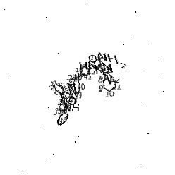 NC(=O)c1ncc(N2CCCCC2)nc1Nc1ccc(C2CCN(Cc3ccccc3N3CCC(=O)NC3=O)CC2)cc1